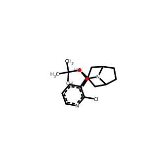 CC(C)(C)OC(=O)N1C2CCC1CC(O)(c1cccnc1Cl)C2